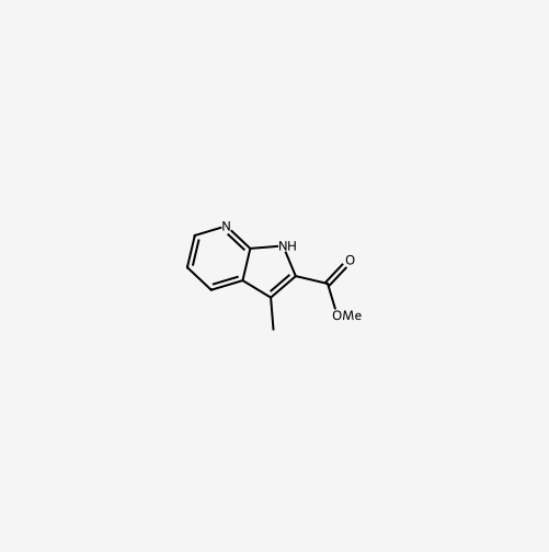 COC(=O)c1[nH]c2ncccc2c1C